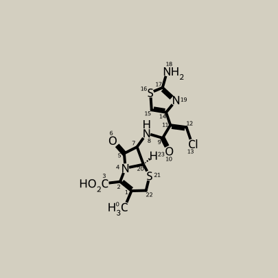 CC1=C(C(=O)O)N2C(=O)C(NC(=O)/C(=C\Cl)c3csc(N)n3)[C@H]2SC1